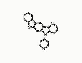 c1ccc2c(c1)sc1cc3c(cc12)c1ncccc1n3-c1ccncc1